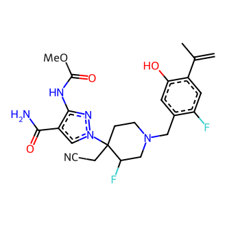 C=C(C)c1cc(F)c(CN2CCC(CC#N)(n3cc(C(N)=O)c(NC(=O)OC)n3)C(F)C2)cc1O